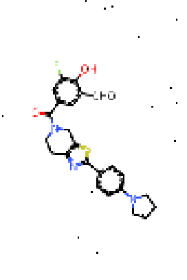 O=Cc1cc(C(=O)N2CCc3nc(-c4ccc(N5CCCC5)cc4)sc3C2)cc(F)c1O